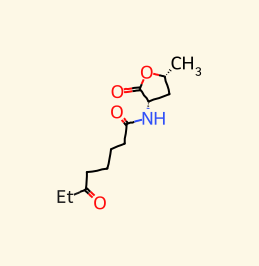 CCC(=O)CCCCC(=O)N[C@H]1C[C@@H](C)OC1=O